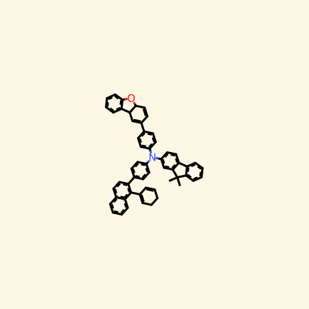 CC1(C)c2ccccc2-c2ccc(N(c3ccc(C4=CC5c6ccccc6OC5C=C4)cc3)c3ccc(-c4ccc5ccccc5c4C4=CCCC=C4)cc3)cc21